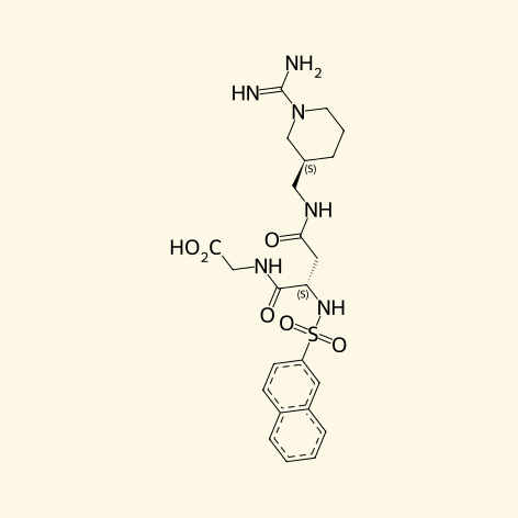 N=C(N)N1CCC[C@@H](CNC(=O)C[C@H](NS(=O)(=O)c2ccc3ccccc3c2)C(=O)NCC(=O)O)C1